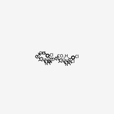 Cc1nn(C(C)c2ccc(Cl)cc2Cl)c2nc(N3CCC(N4CC(OCC(c5ccc(Cl)cc5Cl)n5nc(C)c6ncc(N7CCC(N8CCCC8C(C)(C)O)C(C)C7)nc65)CC4C(=O)O)C(C)C3)cnc12